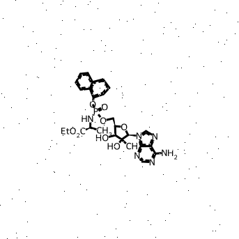 CCOC(=O)[C@H](C)NP(=O)(OC[C@H]1O[C@@H](n2cnc3c(N)ncnc32)C(C)(O)C1O)Oc1cccc2ccccc12